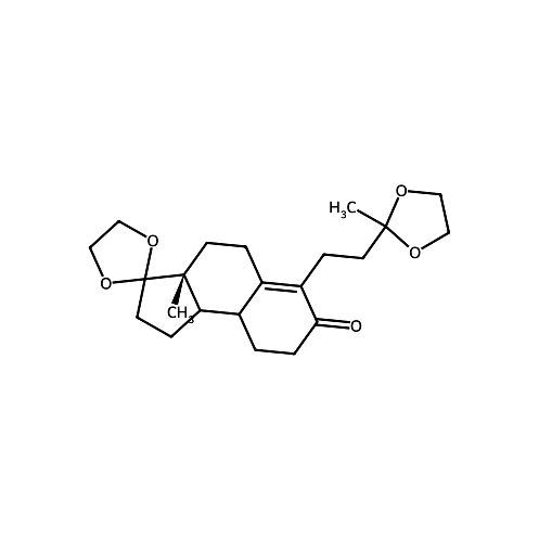 CC1(CCC2=C3CC[C@]4(C)C(CCC45OCCO5)C3CCC2=O)OCCO1